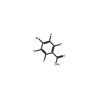 CC(=O)OC(=O)c1c(F)c(F)c(Br)c(F)c1F